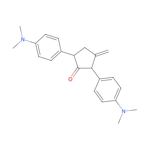 C=C1CC(c2ccc(N(C)C)cc2)C(=O)C1c1ccc(N(C)C)cc1